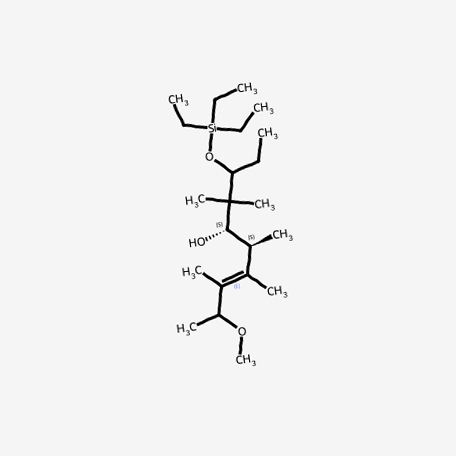 CCC(O[Si](CC)(CC)CC)C(C)(C)[C@@H](O)[C@@H](C)/C(C)=C(\C)C(C)OC